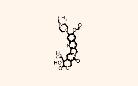 CCN1CCN(c2cc3nc4c(cc3cc2OC=O)Cn2c-4cc3c(c2=O)COC(=O)[C@]3(O)CC)CC1